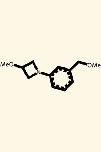 COCc1cccc(N2CC(OC)C2)c1